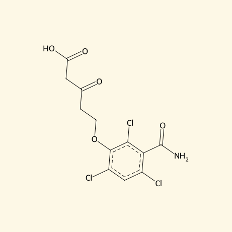 NC(=O)c1c(Cl)cc(Cl)c(OCCC(=O)CC(=O)O)c1Cl